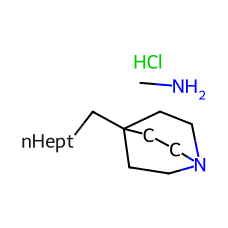 CCCCCCCCC12CCN(CC1)CC2.CN.Cl